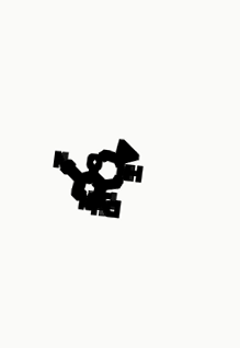 Cl.Cl.N#Cc1cncc2c1OCC1(CC1)NC2